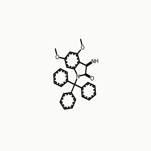 COc1cc(OC)c2c(c1)N(C(c1ccccc1)(c1ccccc1)c1ccccc1)C(=O)C2=N